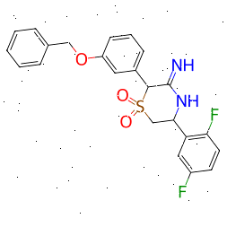 N=C1NC(c2cc(F)ccc2F)CS(=O)(=O)C1c1cccc(OCc2ccccc2)c1